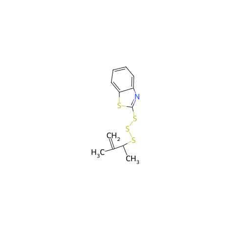 C=C(C)C(C)SSSc1nc2ccccc2s1